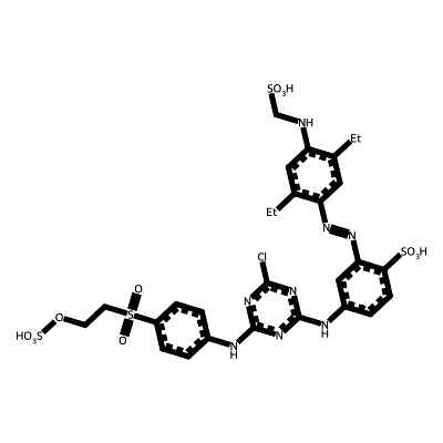 CCc1cc(NCS(=O)(=O)O)c(CC)cc1/N=N/c1cc(Nc2nc(Cl)nc(Nc3ccc(S(=O)(=O)CCOS(=O)(=O)O)cc3)n2)ccc1S(=O)(=O)O